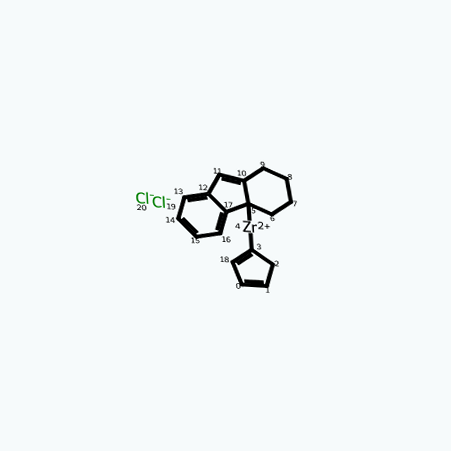 C1=CC[C]([Zr+2][C]23CCCCC2=Cc2ccccc23)=C1.[Cl-].[Cl-]